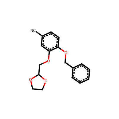 N#Cc1ccc(OCc2ccccc2)c(OCC2OCCO2)c1